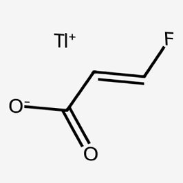 O=C([O-])/C=C/F.[Tl+]